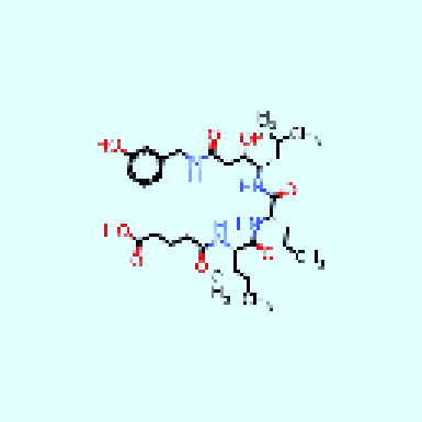 CCC[C@H](NC(=O)[C@@H](NC(=O)CCCC(=O)O)[C@@H](C)CC)C(=O)N[C@@H](CC(C)C)[C@@H](O)CC(=O)NCc1cccc(O)c1